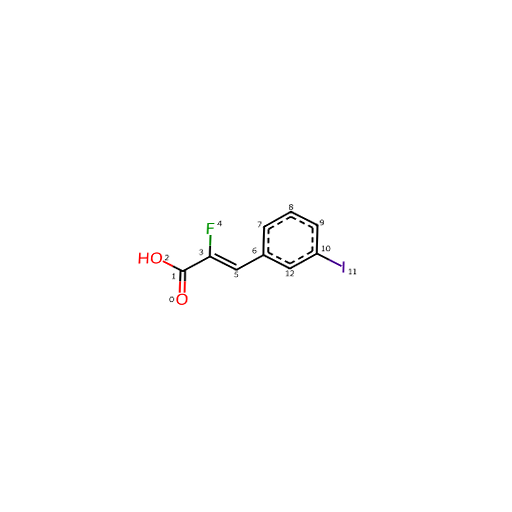 O=C(O)C(F)=Cc1cccc(I)c1